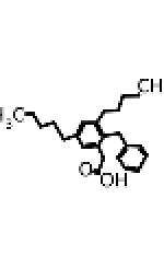 CCCCCc1cc(CCCCC)c(Cc2ccccc2)c(CC(=O)O)c1